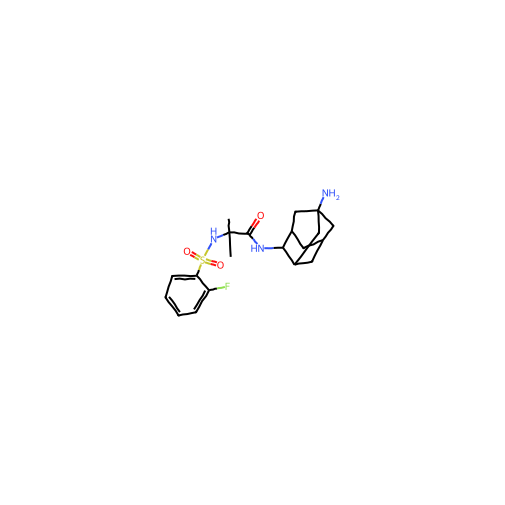 CC(C)(NS(=O)(=O)c1ccccc1F)C(=O)NC1C2CC3CC1CC(N)(C3)C2